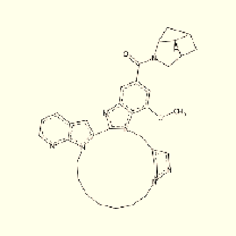 COc1cc(C(=O)N2CC3CC4CC2[C@H]43)cc2nc3n(c12)Cc1cnn(c1)CCCCCCCn1c-3cc2cccnc21